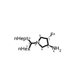 CCCCCCCC(CCCCCC)N1C[C@H](N)[C@@H](F)C1